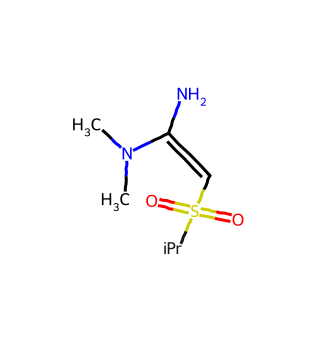 CC(C)S(=O)(=O)C=C(N)N(C)C